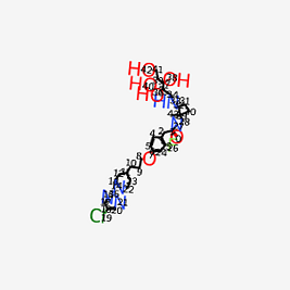 O=C(Cc1ccc(OCCCC2CCN(c3ncc(Cl)cn3)CC2)cc1F)N1CC2(CCC2NC[C@H](O)[C@H](O)[C@H](O)CO)C1